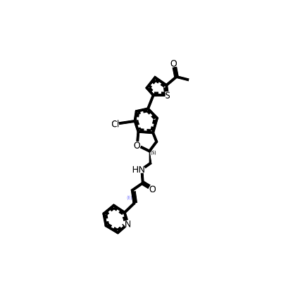 CC(=O)c1ccc(-c2cc(Cl)c3c(c2)C[C@@H](CNC(=O)/C=C/c2ccccn2)O3)s1